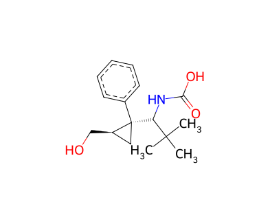 CC(C)(C)C(NC(=O)O)[C@]1(c2ccccc2)C[C@H]1CO